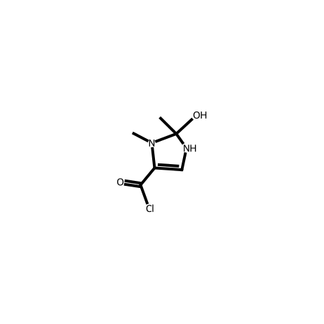 CN1C(C(=O)Cl)=CNC1(C)O